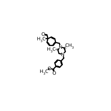 COC(=O)c1ccc(CN2C[C@@H](C)N(CC3=CC=CC(C)(C=O)C=C3)[C@@H](C)C2)cc1